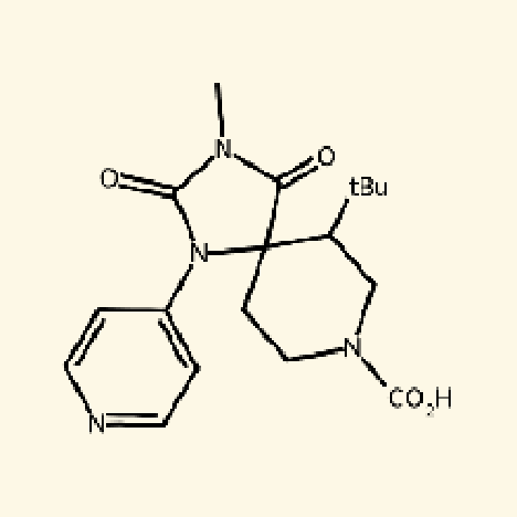 CN1C(=O)N(c2ccncc2)C2(CCN(C(=O)O)CC2C(C)(C)C)C1=O